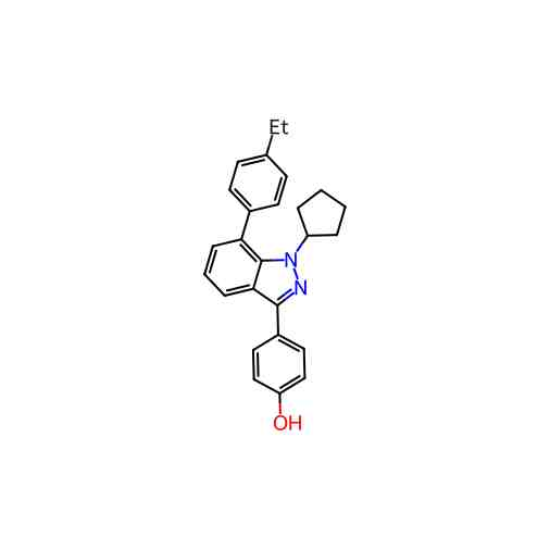 CCc1ccc(-c2cccc3c(-c4ccc(O)cc4)nn(C4CCCC4)c23)cc1